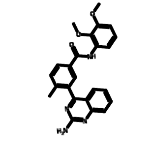 COc1cccc(NC(=O)c2ccc(C)c(-c3nc(N)nc4ccccc34)c2)c1OC